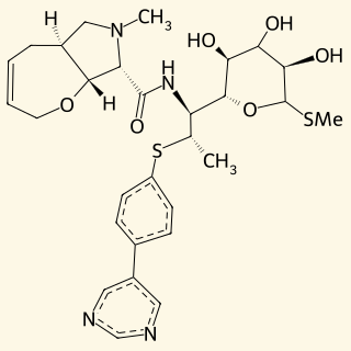 CSC1O[C@H]([C@H](NC(=O)[C@@H]2[C@@H]3OCC=CC[C@H]3CN2C)[C@H](C)Sc2ccc(-c3cncnc3)cc2)[C@@H](O)C(O)[C@H]1O